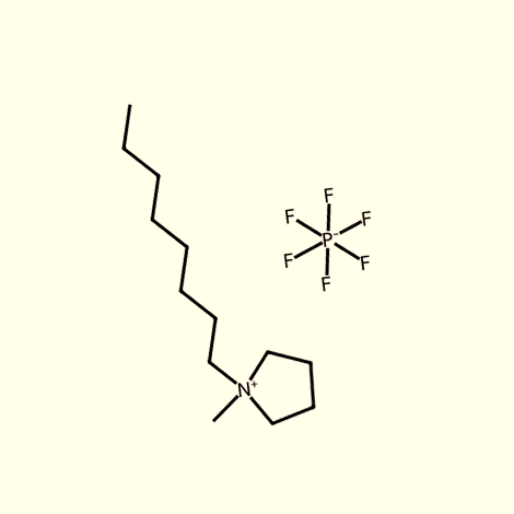 CCCCCCCC[N+]1(C)CCCC1.F[P-](F)(F)(F)(F)F